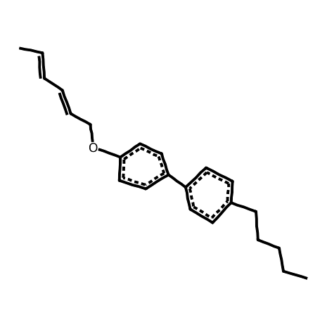 CC=CC=CCOc1ccc(-c2ccc(CCCCC)cc2)cc1